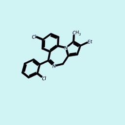 CCc1cc2n(c1C)-c1ccc(Cl)cc1C(c1ccccc1Cl)=NC2